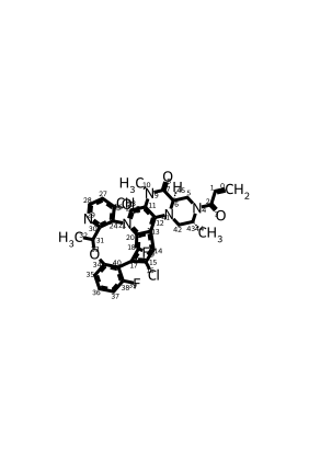 C=CC(=O)N1C[C@@H]2C(=O)N(C)c3c(c4cc(Cl)c5c(F)c4n(c3=O)-c3c(C)ccnc3C(C)Oc3cccc(F)c3-5)N2C[C@H]1C